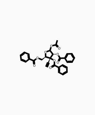 C#C[C@@]1(OC(=O)c2ccccc2)[C@@H](COC(=O)c2ccccc2)OC(OC(C)=O)[C@@H]1OC(=O)c1ccccc1